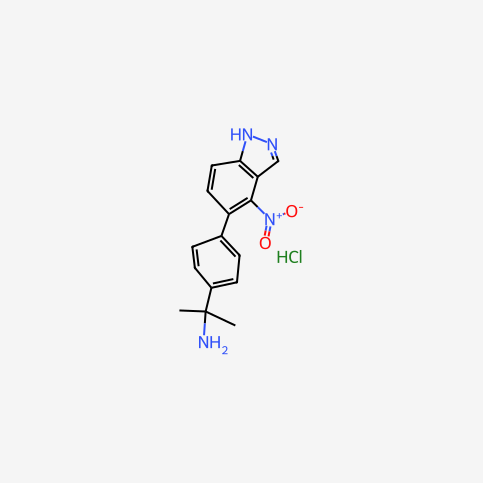 CC(C)(N)c1ccc(-c2ccc3[nH]ncc3c2[N+](=O)[O-])cc1.Cl